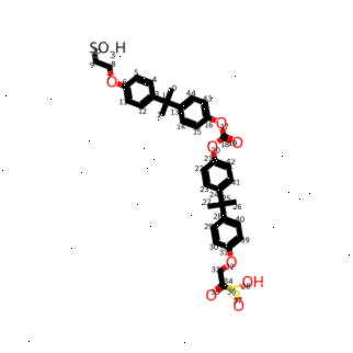 CC(C)(c1ccc(OCCS(=O)(=O)O)cc1)c1ccc(OC(=O)Oc2ccc(C(C)(C)c3ccc(OCC(=O)S(=O)O)cc3)cc2)cc1